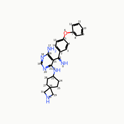 N=C(c1ccc(Oc2ccccc2)cc1)c1c(N)ncnc1NC1CCC2(CC1)CNC2